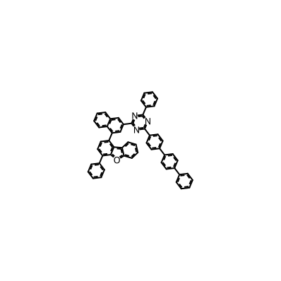 c1ccc(-c2ccc(-c3ccc(-c4nc(-c5ccccc5)nc(-c5cc(-c6ccc(-c7ccccc7)c7oc8ccccc8c67)c6ccccc6c5)n4)cc3)cc2)cc1